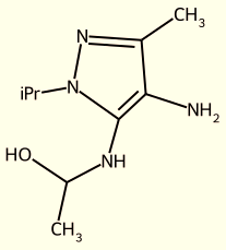 Cc1nn(C(C)C)c(NC(C)O)c1N